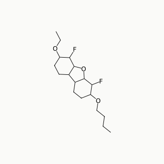 CCCCOC1CCC2C3CCC(OCC)C(F)C3OC2C1F